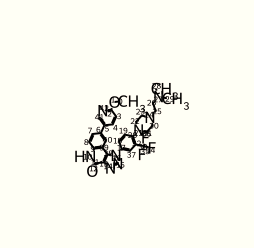 COc1ccc(-c2ccc3[nH]c(=O)c4nnn(-c5ccc(N6CCN(CCN(C)C)CC6)c(C(F)(F)F)c5)c4c3c2)cn1